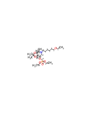 CCOCCCCCCN1C[C@H](OCP(=O)(OCC)OCC)[C@H]2OC(C)(C)O[C@H]2[C@H]1C